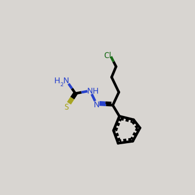 NC(=S)NN=C(CCCCl)c1ccccc1